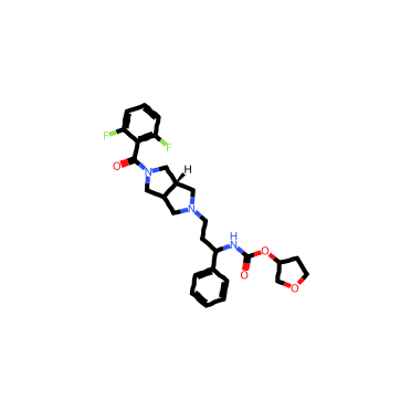 O=C(NC(CCN1CC2CN(C(=O)c3c(F)cccc3F)C[C@@H]2C1)c1ccccc1)OC1CCOC1